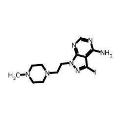 CN1CCN(CCn2nc(I)c3c(N)ncnc32)CC1